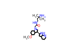 COc1ccc2c(c1)c(-c1cc3cccnc3[nH]1)cn2CC(=O)NCCC(C)(C)N